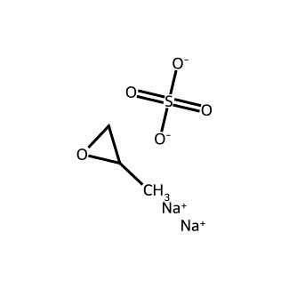 CC1CO1.O=S(=O)([O-])[O-].[Na+].[Na+]